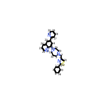 c1ccc(-c2nc(CN3CCCN(c4cc(-c5ccccn5)cc5cccnc45)CC3)cs2)cc1